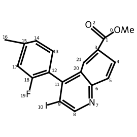 COC(=O)c1ccc2ncc(I)c(-c3ccc(C)cc3F)c2c1